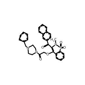 CN1C(C(=O)c2ccc3ccccc3c2)=C(OCC(=O)N2CCN(Cc3ccccc3)CC2)c2ccccc2S1(=O)=O